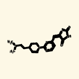 CN(C)CCC1CCN(c2nccc(C=C3SC(=O)NC3=O)n2)CC1